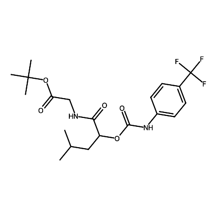 CC(C)CC(OC(=O)Nc1ccc(C(F)(F)F)cc1)C(=O)NCC(=O)OC(C)(C)C